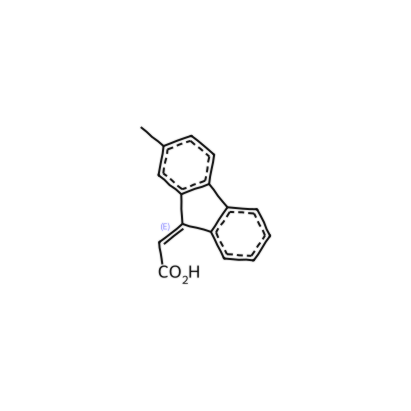 Cc1ccc2c(c1)/C(=C/C(=O)O)c1ccccc1-2